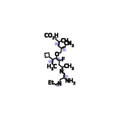 C/C=C(\C(OCC(/C=C(\C)CC(=O)O)=C/C)=C(\F)C/C(C)=N/C=C(/N)C/N=C\CC)C1CCC1